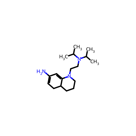 CC(C)N(CCN1CCCC2CC=C(N)C=C21)C(C)C